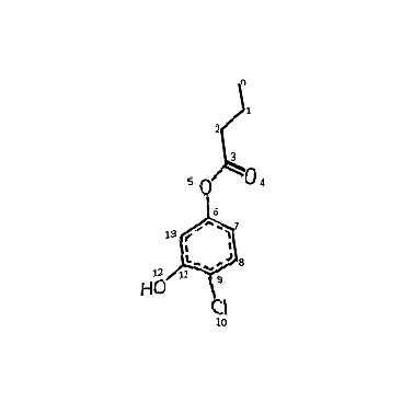 CCCC(=O)Oc1ccc(Cl)c(O)c1